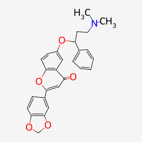 CN(C)CCC(Oc1ccc2oc(-c3ccc4c(c3)OCO4)cc(=O)c2c1)c1ccccc1